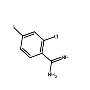 N=C(N)c1ccc(I)cc1Cl